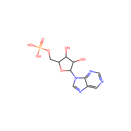 O=P(O)(O)OCC1OC(n2cnc3cncnc32)C(O)C1O